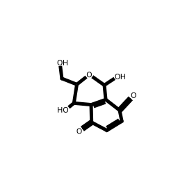 O=C1C=CC(=O)C2=C1C(O)OC(CO)C2O